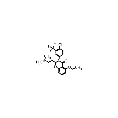 CCOc1cccc2c1C(=O)N(c1ccc(Cl)c(C(F)(F)F)c1)C(CCN(C)C)O2